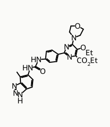 CCOC(=O)c1nc(-c2ccc(NC(=O)Nc3ccc4[nH]nnc4c3C)cc2)nc(N2CCOCC2)c1OCC